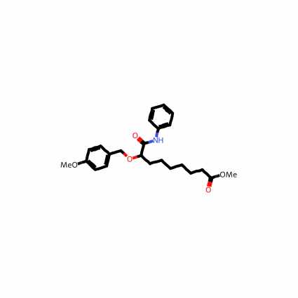 COC(=O)CCCCCCC(OCc1ccc(OC)cc1)C(=O)Nc1ccccc1